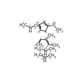 C=CC(C)=CC.CNC.CNC.CNC.[CH3][Ti][C]1=CC=CC1